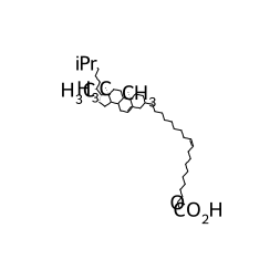 CC(C)CCC[C@@H](C)[C@H]1CCC2C3CC=C4CC(CCCCCCCC/C=C\CCCCCCCCOC(=O)O)CC[C@]4(C)C3CC[C@@]21C